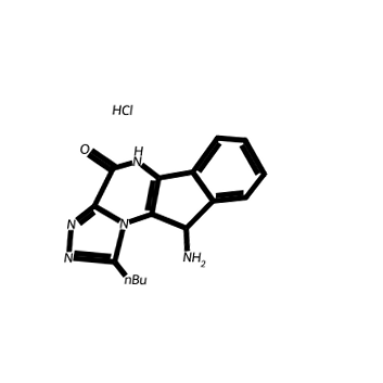 CCCCc1nnc2c(=O)[nH]c3c(n12)C(N)c1ccccc1-3.Cl